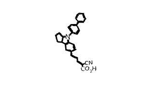 N#C/C(=C\C=C\c1ccc2c(c1)C1CCCC1N2c1ccc(-c2ccccc2)cc1)C(=O)O